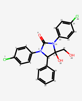 O=C1N(c2ccc(Cl)cc2)C(c2ccccc2)C(O)(CO)N1c1ccc(Cl)cc1